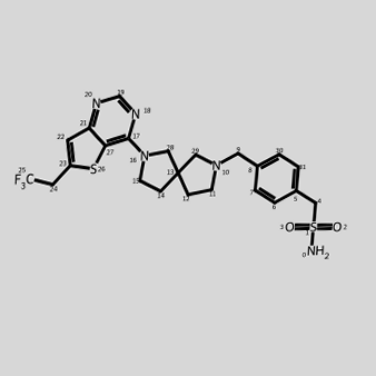 NS(=O)(=O)Cc1ccc(CN2CCC3(CCN(c4ncnc5cc(CC(F)(F)F)sc45)C3)C2)cc1